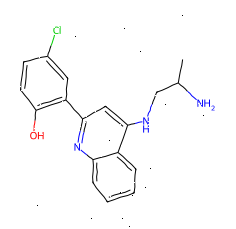 CC(N)CNc1cc(-c2cc(Cl)ccc2O)nc2ccccc12